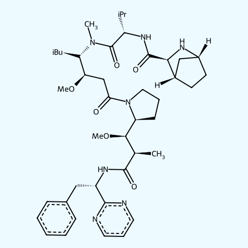 CC[C@H](C)[C@@H]([C@@H](CC(=O)N1CCC[C@H]1[C@H](OC)[C@@H](C)C(=O)N[C@@H](Cc1ccccc1)c1ncccn1)OC)N(C)C(=O)[C@@H](NC(=O)[C@H]1N[C@@H]2CC[C@H]1C2)C(C)C